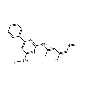 C=N/C=C(Cl)\C=C(/C)Nc1nc(NC(C)C)nc(-c2ccccc2)n1